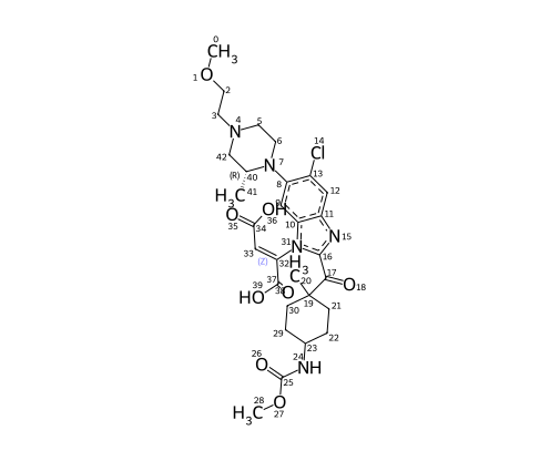 COCCN1CCN(c2cc3c(cc2Cl)nc(C(=O)C2(C)CCC(NC(=O)OC)CC2)n3/C(=C\C(=O)O)C(=O)O)[C@H](C)C1